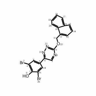 Oc1c(Br)cc(-c2cnc(OCc3cccc4ccccc34)nn2)cc1Br